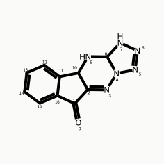 O=C1C2=NN3N=NNC3NC2c2ccccc21